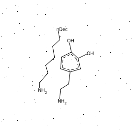 CCCCCCCCCCCCCCCCN.NCCc1ccc(O)c(O)c1